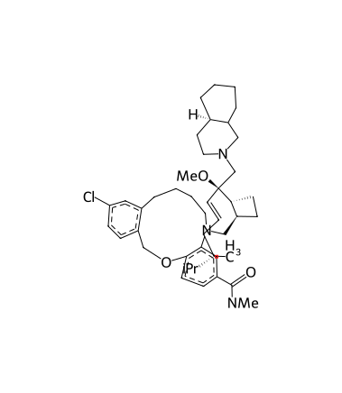 CNC(=O)c1ccc2c(c1)N(C[C@@H]1CC[C@H]1[C@](/C=C/C[C@H](C)C(C)C)(CN1CC[C@H]3CCCCC3C1)OC)CCCCc1cc(Cl)ccc1CO2